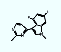 Cc1nccc(-c2cn(C)c3cc(F)cc(F)c23)n1